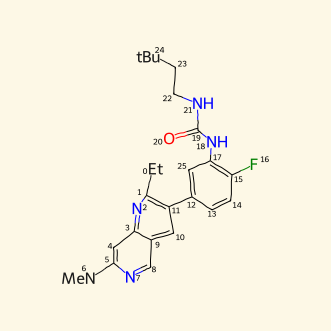 CCc1nc2cc(NC)ncc2cc1-c1ccc(F)c(NC(=O)NCCC(C)(C)C)c1